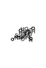 CC(C)[C@H](NC(=O)N(C)Cc1nc(C2=CCCC2)cs1)C(=O)N[C@@H](Cc1ccccc1)C[C@H](O)[C@H](Cc1ccccc1)NC(=O)OCc1ccns1